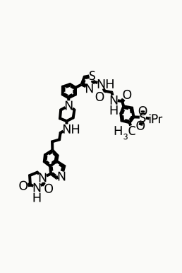 Cc1ccc(C(=O)NCC(=O)Nc2nc(-c3cccc(N4CCC(NCCCc5ccc6c(N7CCC(=O)NC7=O)cncc6c5)CC4)c3)cs2)cc1S(=O)(=O)C(C)C